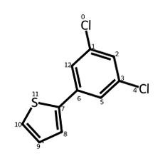 Clc1cc(Cl)cc(-c2c[c]cs2)c1